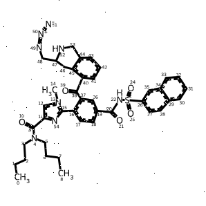 CCCCN(CCCC)C(=O)c1cn(C)c(-c2ccc(C(=O)NS(=O)(=O)c3ccc4ccccc4c3)cc2C(=O)c2cccc3c2CC(CN=[N+]=[N-])NC3)n1